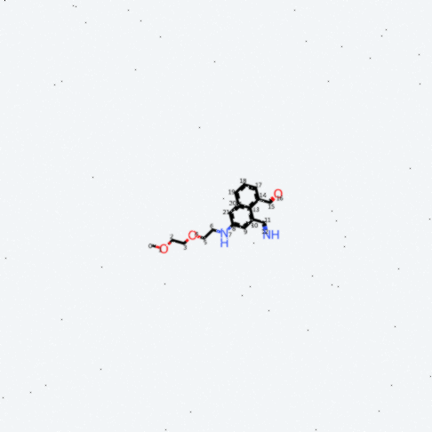 COCCOCCNc1cc(C=N)c2c(C=O)cccc2c1